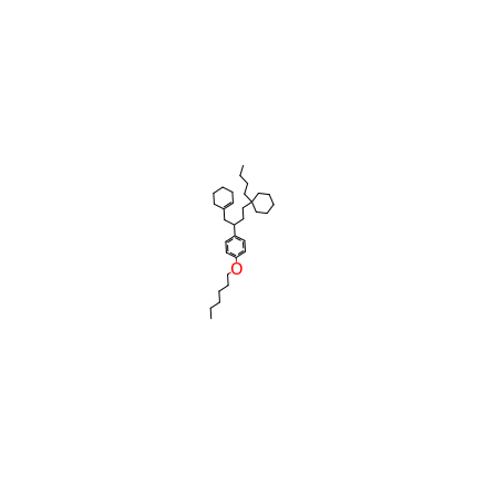 CCCCCCOc1ccc(C(CCC2(CCCC)CCCCC2)CC2=CCCCC2)cc1